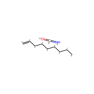 C=CCCCCCCC.N=C=O